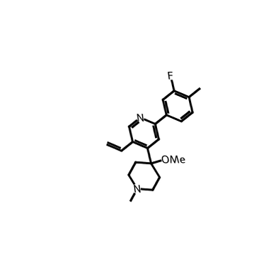 C=Cc1cnc(-c2ccc(C)c(F)c2)cc1C1(OC)CCN(C)CC1